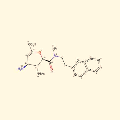 CCCN(CCc1ccc2ccccc2c1)C(=O)[C@@H]1OC(C(=O)O)=C[C@H](N)[C@H]1NC(C)=O